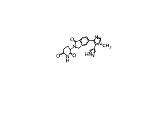 Cn1cnc(-c2ccc3c(c2)CN(C2CCC(=O)NC2=O)C3=O)c1-c1cn[nH]c1